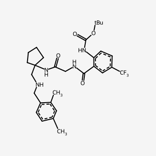 Cc1ccc(CNCC2(NC(=O)CNC(=O)c3cc(C(F)(F)F)ccc3NC(=O)OC(C)(C)C)CCCC2)c(C)c1